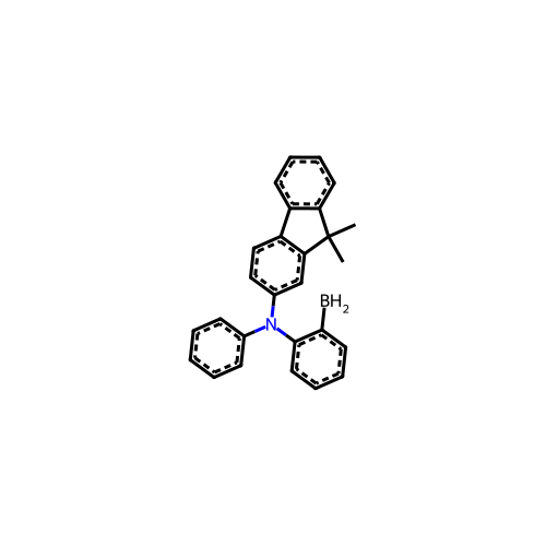 Bc1ccccc1N(c1ccccc1)c1ccc2c(c1)C(C)(C)c1ccccc1-2